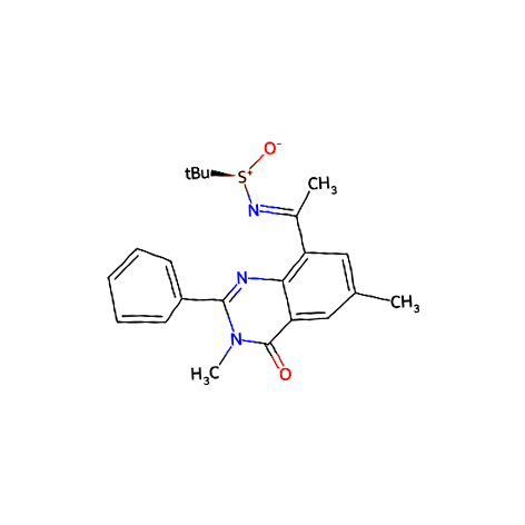 CC(=N[S@+]([O-])C(C)(C)C)c1cc(C)cc2c(=O)n(C)c(-c3ccccc3)nc12